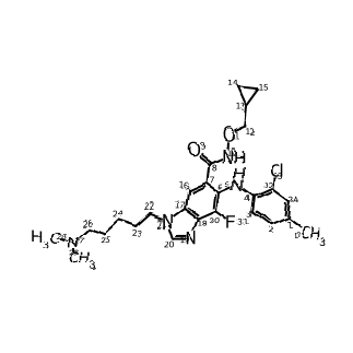 Cc1ccc(Nc2c(C(=O)NOCC3CC3)cc3c(ncn3CCCCCN(C)C)c2F)c(Cl)c1